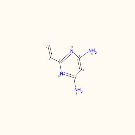 C=Cc1nc(N)cc(N)n1